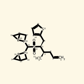 C=CC[C@@H](C)[C@H](Cc1cccs1)S(=O)(=O)C(P1CC2CB21)P1CC2CB21